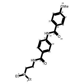 CCN(CC)CCNC(=O)c1ccc(NC(=O)c2ccc(OC)cc2)cc1